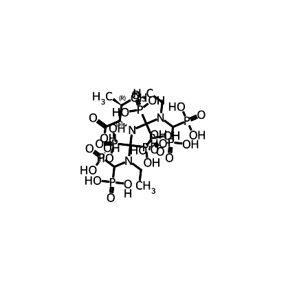 CCN(C(P(=O)(O)O)P(=O)(O)O)C(N([C@H](C(=O)O)[C@@H](C)O)C(N(CC)C(P(=O)(O)O)P(=O)(O)O)(P(=O)(O)O)P(=O)(O)O)(P(=O)(O)O)P(=O)(O)O